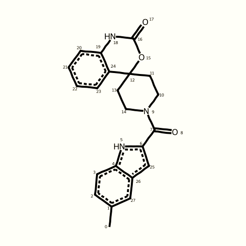 Cc1ccc2[nH]c(C(=O)N3CCC4(CC3)OC(=O)Nc3ccccc34)cc2c1